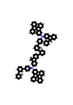 CC1(C)c2ccc(-c3cccc4sc5c(-c6ccc(N(c7ccc8c(c7)-c7ccccc7C87c8ccccc8-c8ccccc87)c7ccc8c(c7)C(C)(c7ccccc7)c7ccccc7-8)cc6)cccc5c34)cc2-c2ccc(N(c3ccc(-c4cccc5c4sc4ccccc45)cc3)c3ccc4c(c3)-c3ccccc3C43c4ccccc4-c4ccccc43)cc21